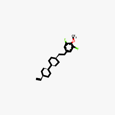 C=C[C@H]1CC[C@H]([C@H]2CC[C@H](CCc3cc(F)c(OC(F)(F)F)c(F)c3)CC2)CC1